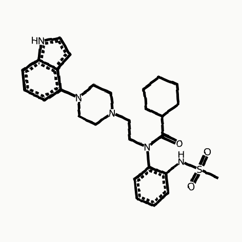 CS(=O)(=O)Nc1ccccc1N(CCN1CCN(c2cccc3[nH]ccc23)CC1)C(=O)C1CCCCC1